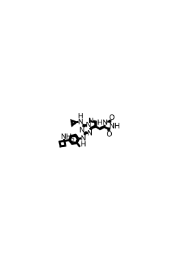 Cc1cc(C2(N)CCC2)ccc1Nc1nc(NC2CC2)n2ncc(/C=C3\NC(=O)NC3=O)c2n1